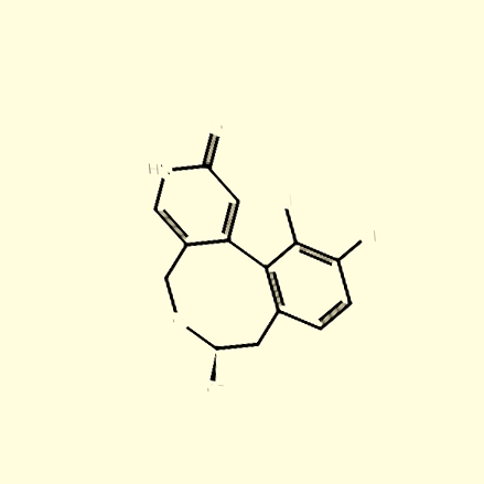 O=c1cc2c(c[nH]1)CO[C@H](C(F)(F)F)Cc1ccc(Cl)c(Cl)c1-2